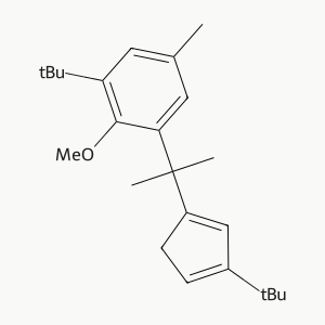 COc1c(C(C)(C)C)cc(C)cc1C(C)(C)C1=CC(C(C)(C)C)=CC1